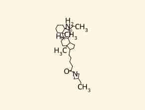 CCC1CN(C(=O)CCCCC2CCC3C4C[C@H](CC)C5(N)CCCCC5(C)[C@H]4CCC23C)C1